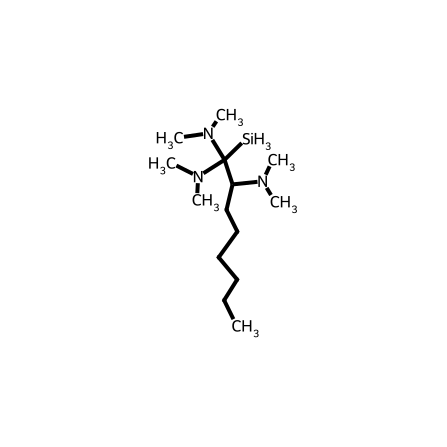 CCCCCCC(N(C)C)C([SiH3])(N(C)C)N(C)C